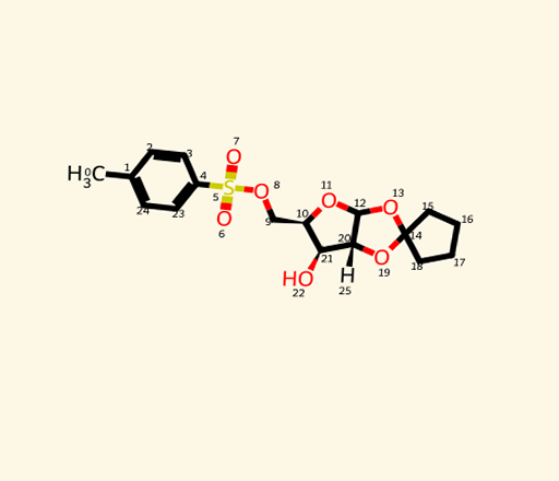 Cc1ccc(S(=O)(=O)OC[C@H]2OC3OC4(CCCC4)O[C@@H]3[C@H]2O)cc1